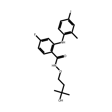 Cc1cc(I)ccc1Nc1cc(F)ccc1C(=O)NOCCC(C)(C)O